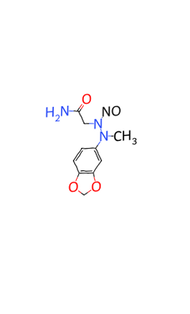 CN(c1ccc2c(c1)OCO2)N(CC(N)=O)N=O